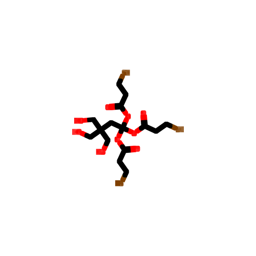 O=C(CCS)OC(CC(CO)(CO)CO)(OC(=O)CCS)OC(=O)CCS